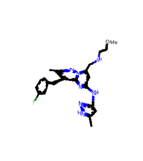 COCCNCc1cc(Nc2cc(C)[nH]n2)nc2c(Cc3cccc(F)c3)c(C)nn12